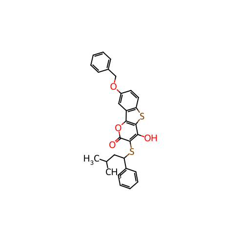 CC(C)CC(Sc1c(O)c2sc3ccc(OCc4ccccc4)cc3c2oc1=O)c1ccccc1